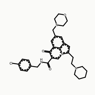 O=C(NCc1ccc(Cl)cc1)c1cn2c(CCN3CCCCC3)cc3cc(CN4CCOCC4)cc(c1=O)c32